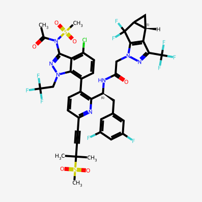 CC(=O)N(c1nn(CC(F)(F)F)c2c(-c3ccc(C#CC(C)(C)S(C)(=O)=O)nc3[C@H](Cc3cc(F)cc(F)c3)NC(=O)Cn3nc(C(F)(F)F)c4c3C(F)(F)C3C[C@H]43)ccc(Cl)c12)S(C)(=O)=O